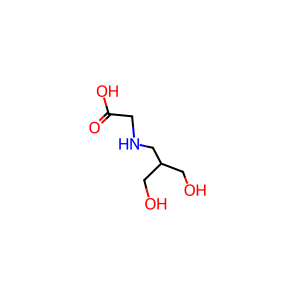 O=C(O)CNCC(CO)CO